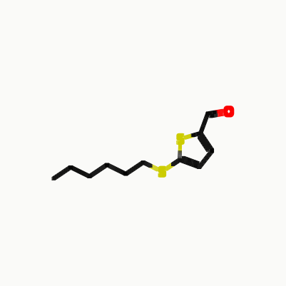 CCCCCCSc1ccc(C=O)s1